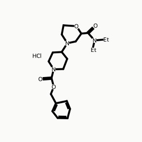 CCN(CC)C(=O)C1CN(C2CCN(C(=O)OCc3ccccc3)CC2)CCO1.Cl